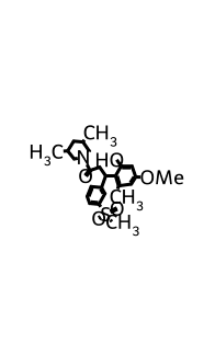 COc1cc(C)c(C(CC(=O)N2CC(C)CC(C)C2)c2cccc(S(C)(=O)=O)c2)c(O)c1